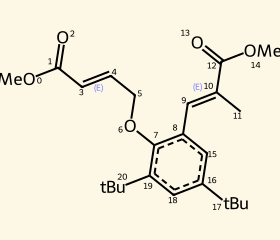 COC(=O)/C=C/COc1c(/C=C(\C)C(=O)OC)cc(C(C)(C)C)cc1C(C)(C)C